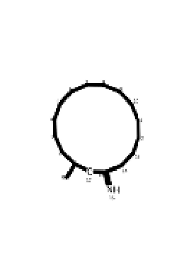 CC1CCCCCCCCCCCCCC(=N)O1